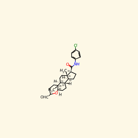 C[C@]12CCC(C=O)O[C@@H]1CC[C@@H]1[C@@H]2CC[C@]2(C)[C@@H](C(=O)Nc3ccc(Cl)cc3)CC[C@@H]12